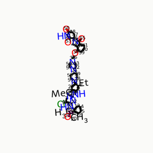 CCc1cc(Nc2ncc(Cl)c(Nc3ccccc3P(C)(C)=O)n2)c(OC)cc1N1CCC(N2CCN(CCOc3cccc4c3CN([C@H]3CCC(=O)NC3=O)C4=O)CC2)CC1